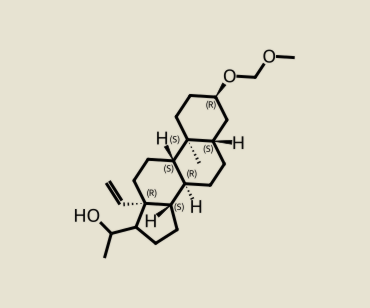 C=C[C@]12CC[C@H]3[C@@H](CC[C@H]4C[C@H](OCOC)CC[C@@]43C)[C@@H]1CCC2C(C)O